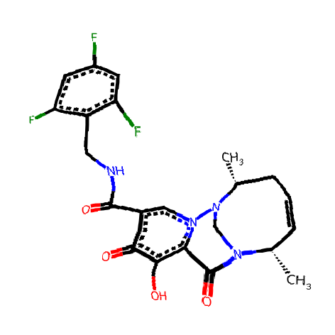 C[C@@H]1C/C=C\[C@H](C)N2CN1n1cc(C(=O)NCc3c(F)cc(F)cc3F)c(=O)c(O)c1C2=O